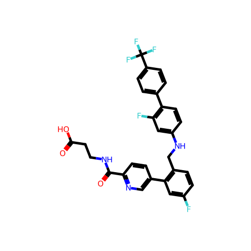 O=C(O)CCNC(=O)c1ccc(-c2cc(F)ccc2CNc2ccc(-c3ccc(C(F)(F)F)cc3)c(F)c2)cn1